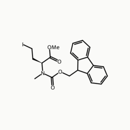 COC(=O)[C@H](CCI)N(C)C(=O)OCC1c2ccccc2-c2ccccc21